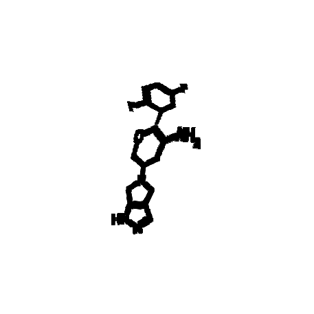 NC1CC(N2Cc3cn[nH]c3C2)CO[C@@H]1C1CC(F)=CC=C1F